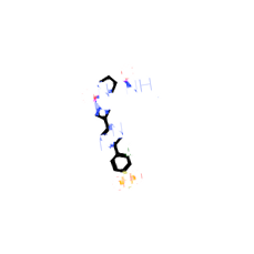 CS(=O)(=O)c1ccc(-c2cnc(C3CN(C(=O)N4CC[C@H](C(N)=O)C4)C3)cn2)c(Cl)c1